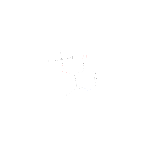 [2H]C([2H])([2H])Oc1c(O)ccnc1C